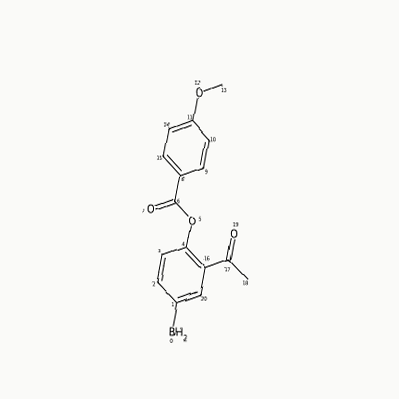 Bc1ccc(OC(=O)c2ccc(OC)cc2)c(C(C)=O)c1